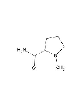 [CH2]N1CCCC1C(N)=O